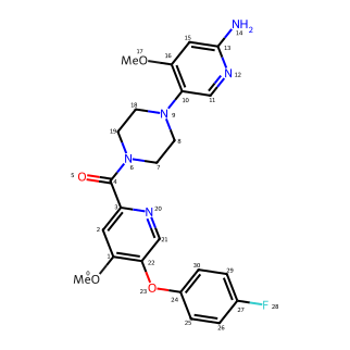 COc1cc(C(=O)N2CCN(c3cnc(N)cc3OC)CC2)ncc1Oc1ccc(F)cc1